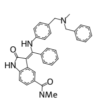 CNC(=O)c1ccc2c(c1)/C(=C(/Nc1ccc(CN(C)Cc3ccccc3)cc1)c1ccccc1)C(=O)N2